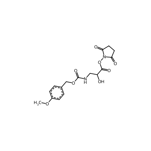 COc1ccc(COC(=O)NCC(O)C(=O)ON2C(=O)CCC2=O)cc1